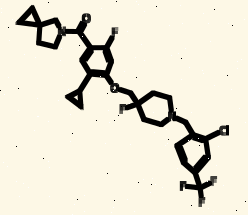 O=C(c1cc(C2CC2)c(OCC2(F)CCN(Cc3ccc(C(F)(F)F)cc3Cl)CC2)cc1F)N1CCC2(CC2)C1